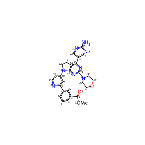 COC(=O)c1cccc(-c2cc(N3CCc4c(-c5cnc(N)nc5)nc(N5CCOCC5)nc43)ccn2)c1